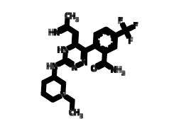 CCN1CCCC(NC2=NN=C(c3ccc(C(F)(F)F)cc3C(N)=O)/C(=C/C(C)=N)N2)C1